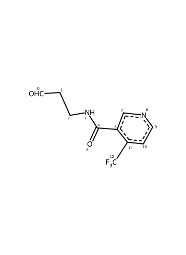 O=CCCNC(=O)c1cnccc1C(F)(F)F